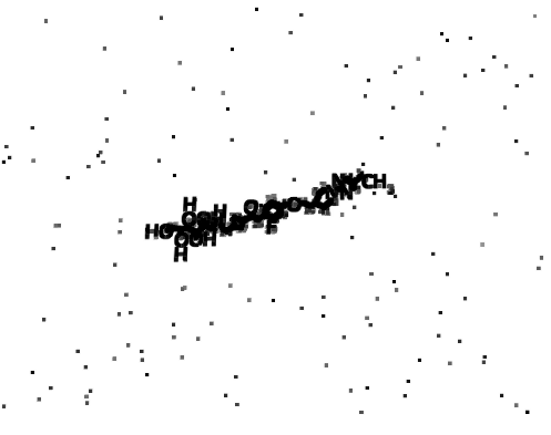 CCc1cnc(N2CCC(CCOCc3ccc(CC(=O)C4CC(CNCC(O)C(O)C(O)C(O)CO)C4)c(F)c3)CC2)nc1